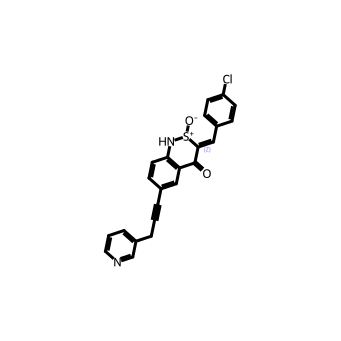 O=C1/C(=C/c2ccc(Cl)cc2)[S+]([O-])Nc2ccc(C#CCc3cccnc3)cc21